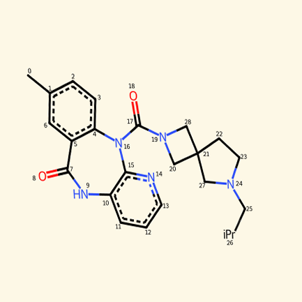 Cc1ccc2c(c1)C(=O)Nc1cccnc1N2C(=O)N1CC2(CCN(CC(C)C)C2)C1